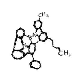 CCCCc1cc2c3c(c1)c1cc(C)ccc1n3B1c3cccc4c5cccc6c7c(-c8ccccc8)cc-2c1c7n(c34)c56